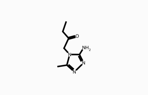 CCC(=O)Cn1c(C)nnc1N